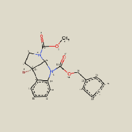 COC(=O)N1CC[C@]2(Br)c3ccccc3N(C(=O)OCc3ccccc3)C12